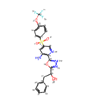 Nc1cc(S(=O)(=O)c2ccc(OC(F)(F)F)cc2)cnc1-c1nnc(C(O)Cc2ccccc2)o1